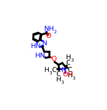 CC1(C)CC(COC2CNC(c3nc4c(C(N)=O)cccc4[nH]3)C2)C(C)(C)N1O